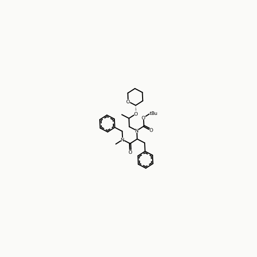 CC(CN(C(=O)OC(C)(C)C)C(Cc1ccccc1)C(=O)N(C)Cc1ccccc1)O[C@H]1CCCCO1